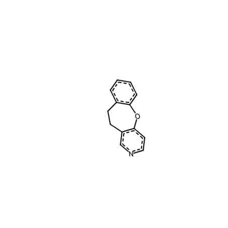 c1ccc2c(c1)CCc1cnccc1O2